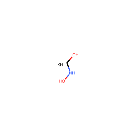 OCNO.[KH]